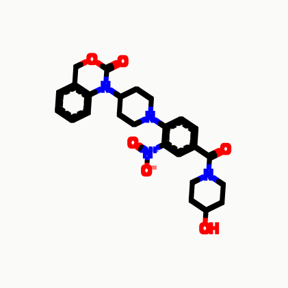 O=C(c1ccc(N2CCC(N3C(=O)OCc4ccccc43)CC2)c([N+](=O)[O-])c1)N1CCC(O)CC1